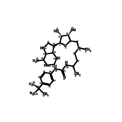 CC(CCN(C)C[C@H]1O[C@@H](N2CNC3C(N)NCNC32)[C@H](O)[C@@H]1O)NC(=O)Nc1ccc(C(C)(C)C)cc1